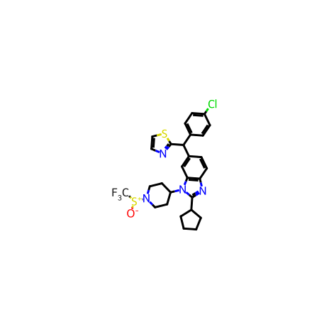 [O-][S+](N1CCC(n2c(C3CCCC3)nc3ccc(C(c4ccc(Cl)cc4)c4nccs4)cc32)CC1)C(F)(F)F